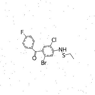 CCSNc1cc(Br)c(C(=O)c2ccc(F)cc2)cc1Cl